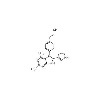 Cc1cc(C)c2c(n1)NC(c1cc[nH]n1)N2c1ccc(CCO)cc1